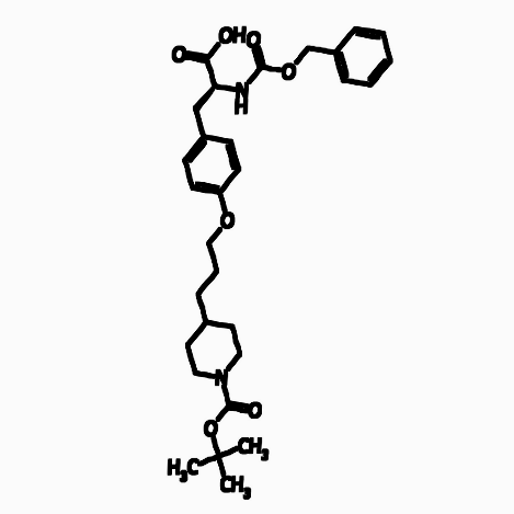 CC(C)(C)OC(=O)N1CCC(CCCOc2ccc(C[C@H](NC(=O)OCc3ccccc3)C(=O)O)cc2)CC1